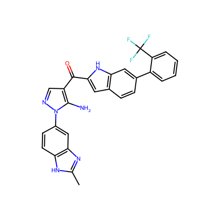 Cc1nc2cc(-n3ncc(C(=O)c4cc5ccc(-c6ccccc6C(F)(F)F)cc5[nH]4)c3N)ccc2[nH]1